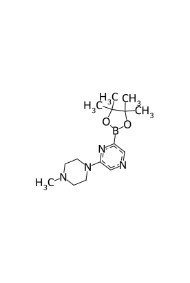 CN1CCN(c2cncc(B3OC(C)(C)C(C)(C)O3)n2)CC1